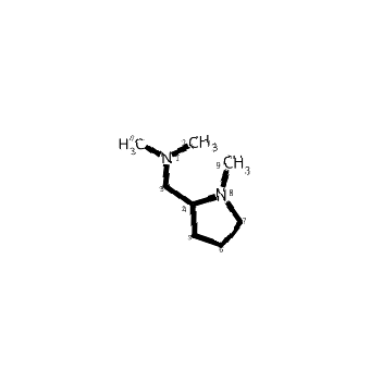 CN(C)CC1CCCN1C